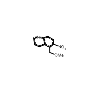 COCc1c([N+](=O)[O-])ccc2ncccc12